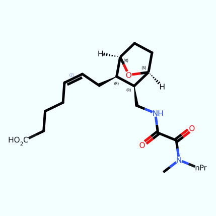 CCCN(C)C(=O)C(=O)NC[C@H]1[C@@H](C/C=C\CCCC(=O)O)[C@H]2CC[C@@H]1O2